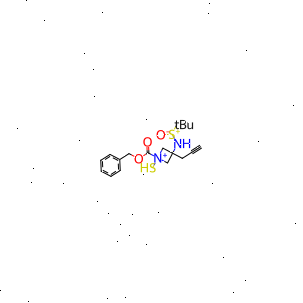 C#CCC1(N[S+]([O-])C(C)(C)C)C[N+](S)(C(=O)OCc2ccccc2)C1